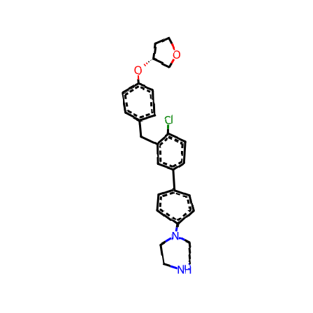 Clc1ccc(-c2ccc(N3CCNCC3)cc2)cc1Cc1ccc(O[C@@H]2CCOC2)cc1